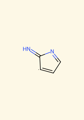 N=C1[C]=CC=N1